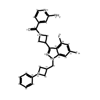 Nc1cc(C(=O)N2CC(c3nn(CC4CN(c5ccccc5)C4)c4cc(F)cc(F)c34)C2)ccn1